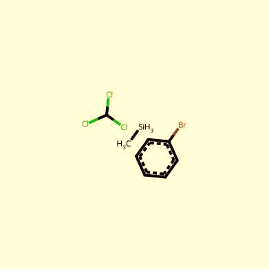 Brc1ccccc1.C[SiH3].ClC(Cl)Cl